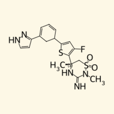 CN1C(=N)N[C@](C)(c2sc(C3C=CC=C(c4cc[nH]n4)C3)cc2F)CS1(=O)=O